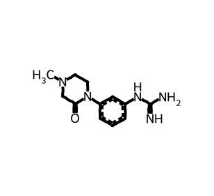 CN1CCN(c2cccc(NC(=N)N)c2)C(=O)C1